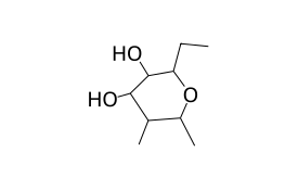 CCC1OC(C)C(C)C(O)C1O